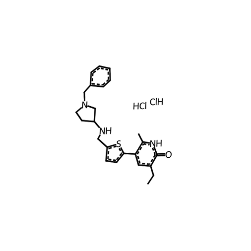 CCc1cc(-c2ccc(CNC3CCN(Cc4ccccc4)C3)s2)c(C)[nH]c1=O.Cl.Cl